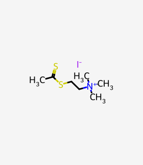 CC(=S)SCC[N+](C)(C)C.[I-]